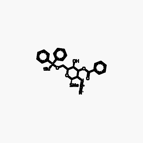 CS[C@@H]1OC(CO[Si](c2ccccc2)(c2ccccc2)C(C)(C)C)[C@@H](O)C(OC(=O)c2ccccc2)C1N=[N+]=[N-]